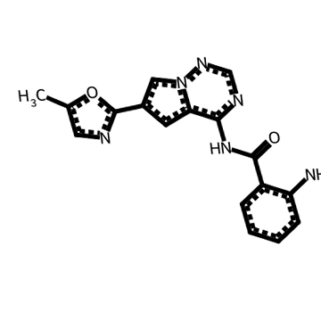 Cc1cnc(-c2cc3c(NC(=O)c4ccccc4N)ncnn3c2)o1